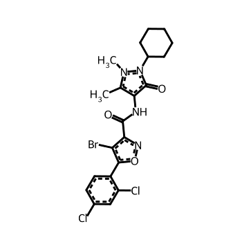 Cc1c(NC(=O)c2noc(-c3ccc(Cl)cc3Cl)c2Br)c(=O)n(C2CCCCC2)n1C